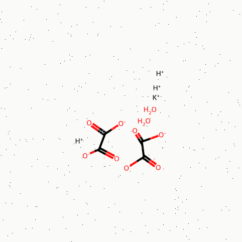 O.O.O=C([O-])C(=O)[O-].O=C([O-])C(=O)[O-].[H+].[H+].[H+].[K+]